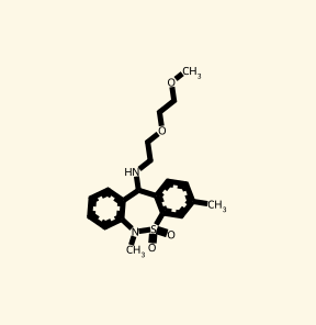 COCCOCCNC1c2ccccc2N(C)S(=O)(=O)c2cc(C)ccc21